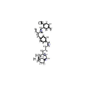 C=CC(Cc1ccc(/C=C\CCC/C2=C/C=C(\CN)CCCCN2)cc1)/N=C/c1cc(F)ccc1Cl